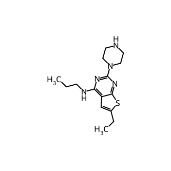 CCCNc1nc(N2CCNCC2)nc2sc(CC)cc12